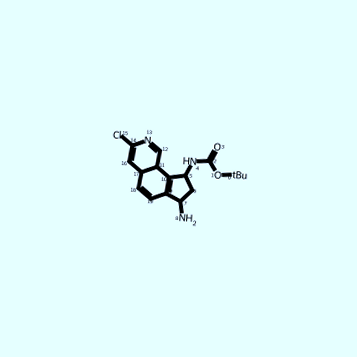 CC(C)(C)OC(=O)NC1CC(N)C2=C1C1C=NC(Cl)=CC1C=C2